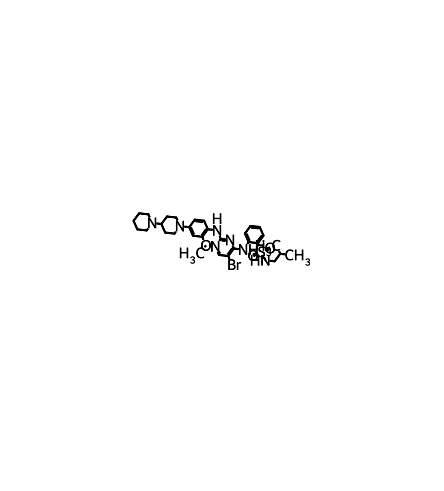 COc1cc(N2CCC(N3CCCCC3)CC2)ccc1Nc1ncc(Br)c(Nc2ccccc2S(=O)(=O)NCC(C)C)n1